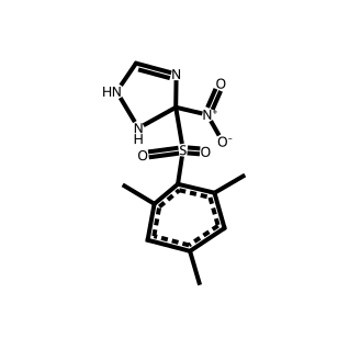 Cc1cc(C)c(S(=O)(=O)C2([N+](=O)[O-])N=CNN2)c(C)c1